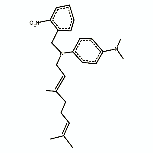 CC(C)=CCC/C(C)=C/CN(Cc1ccccc1[N+](=O)[O-])c1ccc(N(C)C)cc1